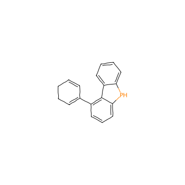 C1=CC(c2cccc3[pH]c4ccccc4c23)=CCC1